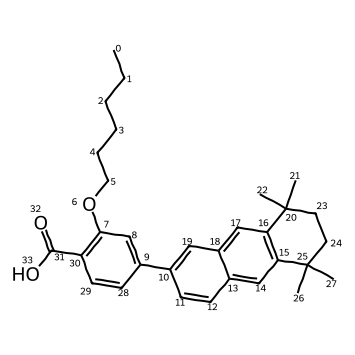 CCCCCCOc1cc(-c2ccc3cc4c(cc3c2)C(C)(C)CCC4(C)C)ccc1C(=O)O